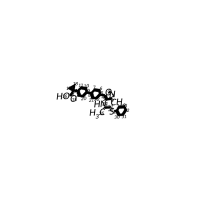 Cc1noc(-c2ccc(-c3ccc(C4(C(=O)O)CC4)cc3)cc2)c1NC(C)CSc1ccccc1